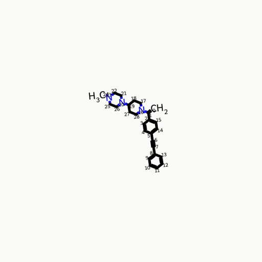 C=C(c1ccc(C#Cc2ccccc2)cc1)N1CCC(N2CCN(C)CC2)CC1